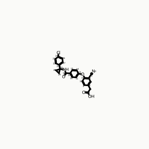 N#Cc1cc(CC(=O)O)ccc1Oc1ccc(C(=O)NC2(c3ccc(Cl)cc3)CC2)cc1